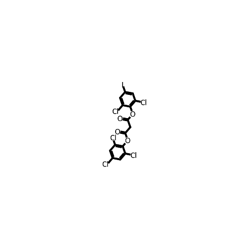 O=C(CC(=O)Oc1c(Cl)cc(I)cc1Cl)Oc1c(Cl)cc(Cl)cc1Cl